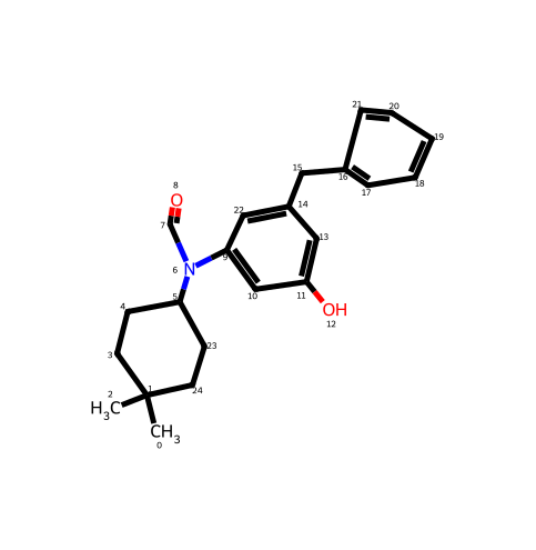 CC1(C)CCC(N(C=O)c2cc(O)cc(Cc3ccccc3)c2)CC1